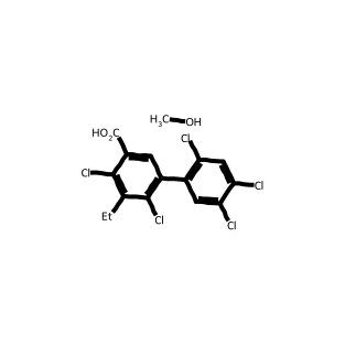 CCc1c(Cl)c(C(=O)O)cc(-c2cc(Cl)c(Cl)cc2Cl)c1Cl.CO